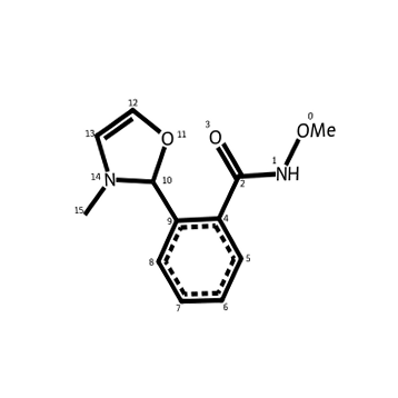 CONC(=O)c1ccccc1C1OC=CN1C